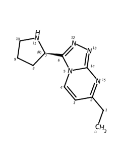 CCc1ccn2c([C@H]3CCCN3)nnc2n1